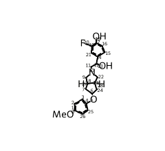 COc1ccc(O[C@@H]2C[C@@H]3CN(CC(O)c4ccc(O)c(F)c4)C[C@@H]3C2)cc1